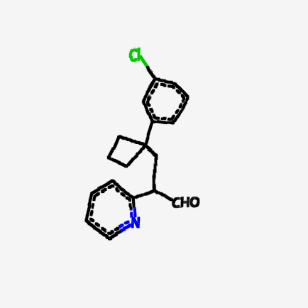 O=CC(CC1(c2cccc(Cl)c2)CCC1)c1ccccn1